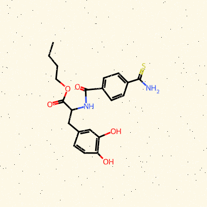 CCCCOC(=O)C(Cc1ccc(O)c(O)c1)NC(=O)c1ccc(C(N)=S)cc1